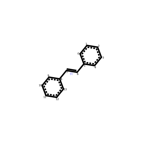 [c]1ccccc1/C=C/c1ccccc1